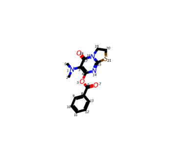 CN(C)c1c(OC(=O)c2ccccc2)nc2n(c1=O)CCS2